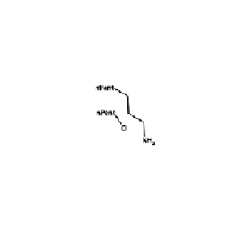 CCCCCCCCN.CCCCCCl